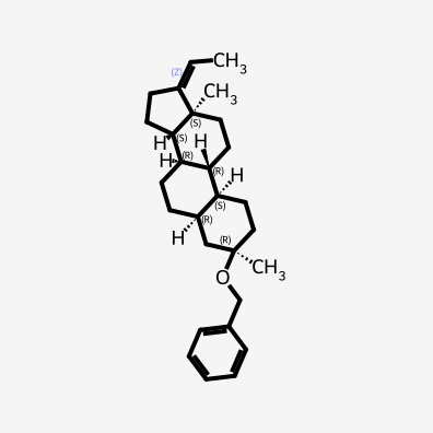 C/C=C1/CC[C@H]2[C@@H]3CC[C@@H]4C[C@](C)(OCc5ccccc5)CC[C@@H]4[C@H]3CC[C@]12C